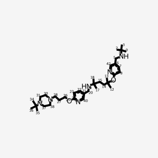 CC(C)(C)NCc1ccc(OC(C)(C)CCC(C)(C)NCc2ccc(OCCCN3CCN(C(C)(C)C)CC3)nc2)nc1